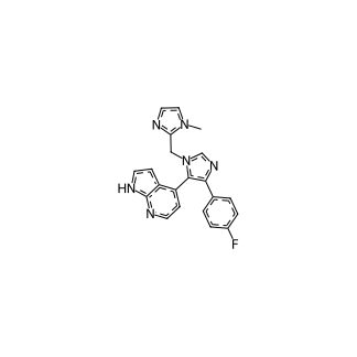 Cn1ccnc1Cn1cnc(-c2ccc(F)cc2)c1-c1ccnc2[nH]ccc12